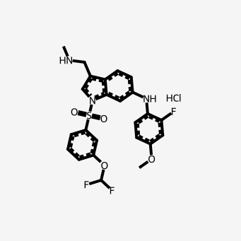 CNCc1cn(S(=O)(=O)c2cccc(OC(F)F)c2)c2cc(Nc3ccc(OC)cc3F)ccc12.Cl